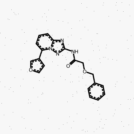 O=C(COCc1ccccc1)Nc1nc2cccc(-c3ccoc3)n2n1